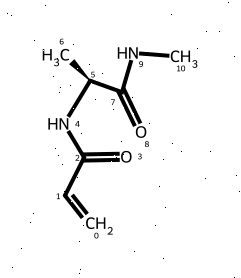 C=CC(=O)N[C@@H](C)C(=O)NC